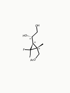 CC(=O)OC[C@@]1(C)[C@H]([C@H](O)CO)C1(F)F